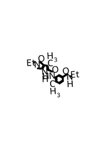 CCNC(=O)c1ccc(C)c(NC(=O)c2[nH]c3c(c2C)C(=O)N(CC)C3)c1